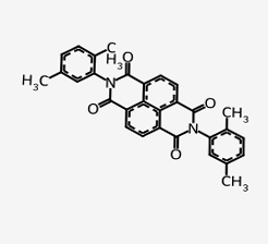 Cc1ccc(C)c(N2C(=O)c3ccc4c5c(ccc(c35)C2=O)C(=O)N(c2cc(C)ccc2C)C4=O)c1